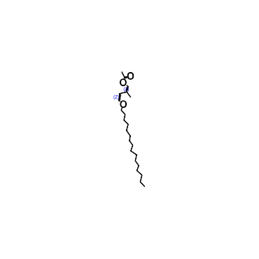 CCCCCCCCCCCCCCCCO/C=C\C(C)=C/OC(C)=O